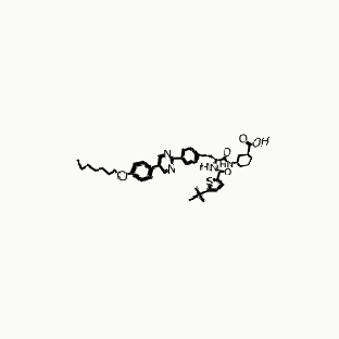 CCCCCCCOc1ccc(-c2cnc(-c3ccc(C[C@H](NC(=O)c4ccc(C(C)(C)C)s4)C(=O)NC4CCCC(C(=O)O)C4)cc3)nc2)cc1